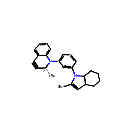 CC(C)(C)C1=CC2CCCCC2N1c1cccc(N2c3ccccc3C#C[C@H]2C(C)(C)C)c1